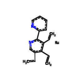 C=Cc1cnc(-c2ccccn2)c(C=C)c1C=C.[Ru]